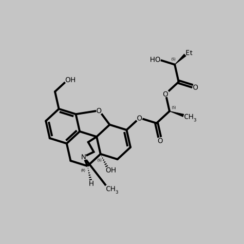 CC[C@H](O)C(=O)O[C@@H](C)C(=O)OC1=CC[C@@]2(O)[C@H]3Cc4ccc(CO)c5c4C2(CCN3C)C1O5